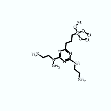 CCO[Si](CCCc1nc(NCCN)nc(N(N)CCN)n1)(OCC)OCC